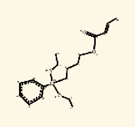 CC=CC(=O)OCCCC[Si](OCC)(OCC)c1ccccc1